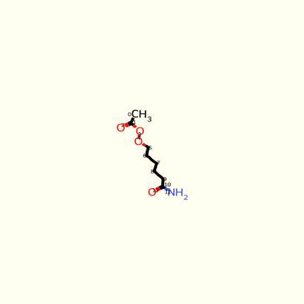 CC(=O)OOCCCCCC(N)=O